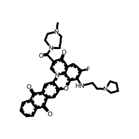 CN1CCN(C(=O)c2cn3c4cc5c(=O)c6ccccc6c(=O)c5cc4oc4c(NCCN5CCCC5)c(F)cc(c2=O)c43)CC1